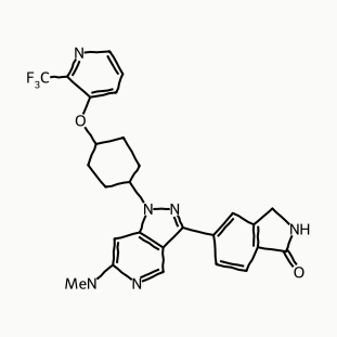 CNc1cc2c(cn1)c(-c1ccc3c(c1)CNC3=O)nn2C1CCC(Oc2cccnc2C(F)(F)F)CC1